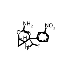 NC1=N[C@@](c2cccc([N+](=O)[O-])c2)(C(F)F)[C@H]2C[C@H]2O1